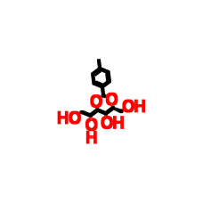 Cc1ccc(C2O[C@H]([C@H](O)CO)[C@H](O)[C@H](CO)O2)cc1